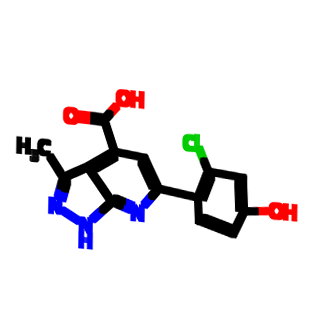 Cc1n[nH]c2nc(-c3ccc(O)cc3Cl)cc(C(=O)O)c12